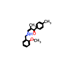 COc1ccccc1CNC=C(C)C(=O)c1ccc(C)cc1